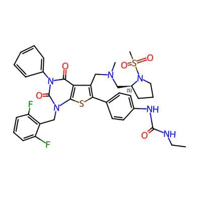 CCNC(=O)Nc1ccc(-c2sc3c(c2CN(C)C[C@@H]2CCCN2S(C)(=O)=O)c(=O)n(-c2ccccc2)c(=O)n3Cc2c(F)cccc2F)cc1